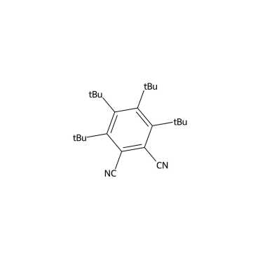 CC(C)(C)c1c(C#N)c(C#N)c(C(C)(C)C)c(C(C)(C)C)c1C(C)(C)C